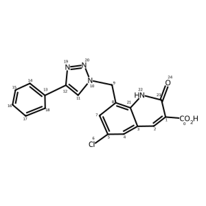 O=C(O)c1cc2cc(Cl)cc(Cn3cc(-c4ccccc4)nn3)c2[nH]c1=O